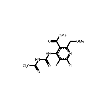 COCc1nc(Cl)c(F)c(NC(=O)NC(=O)C(Cl)(Cl)Cl)c1C(=O)OC